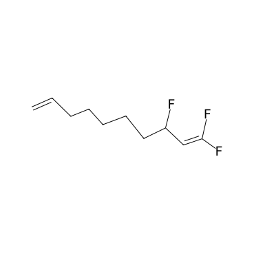 C=CCCCCCC(F)C=C(F)F